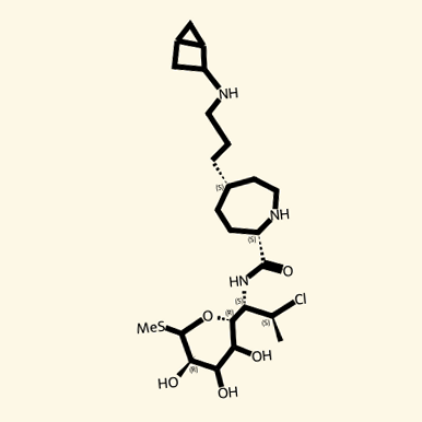 CSC1O[C@H]([C@H](NC(=O)[C@@H]2CC[C@H](CCCNC3CC4CC43)CCN2)[C@H](C)Cl)C(O)C(O)[C@H]1O